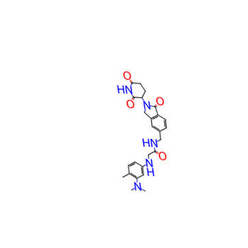 Cc1ccc(NCC(=O)NCc2ccc3c(c2)CN(C2CCC(=O)NC2=O)C3=O)cc1N(C)C